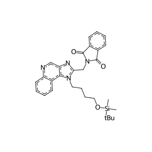 CC(C)(C)[Si](C)(C)OCCCCn1c(CN2C(=O)c3ccccc3C2=O)nc2cnc3ccccc3c21